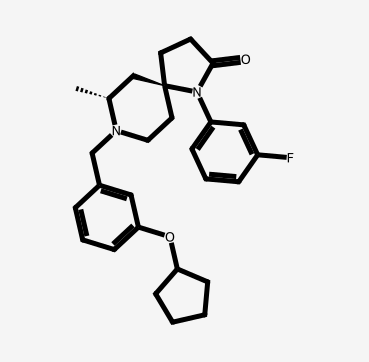 C[C@@H]1C[C@]2(CCC(=O)N2c2cccc(F)c2)CCN1Cc1cccc(OC2CCCC2)c1